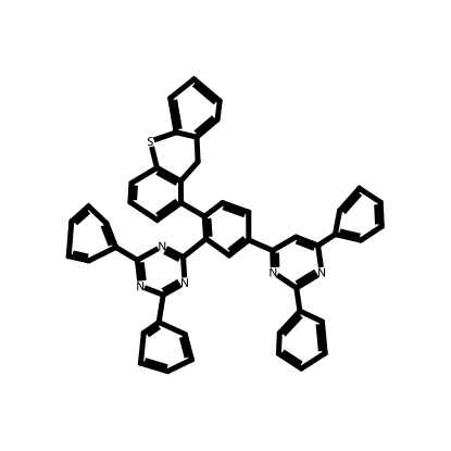 c1ccc(-c2cc(-c3ccc(-c4cccc5c4Cc4ccccc4S5)c(-c4nc(-c5ccccc5)nc(-c5ccccc5)n4)c3)nc(-c3ccccc3)n2)cc1